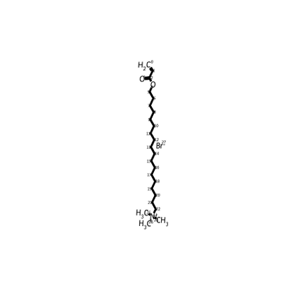 C=CC(=O)OCCCCCCCCCCCCCCCCCC[N+](C)(C)C.[Br-]